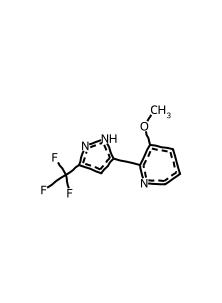 COc1cccnc1-c1cc(C(F)(F)F)n[nH]1